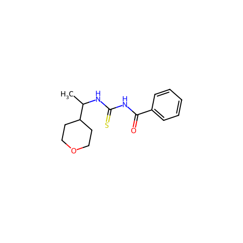 CC(NC(=S)NC(=O)c1ccccc1)C1CCOCC1